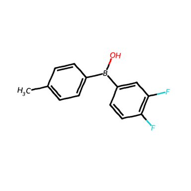 Cc1ccc(B(O)c2ccc(F)c(F)c2)cc1